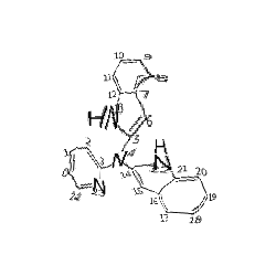 c1ccc(N(c2cc3ccccc3[nH]2)c2cc3ccccc3[nH]2)nc1